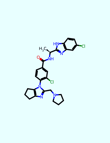 C[C@H](NC(=O)c1ccc(-n2c(CN3CCCC3)nc3c2CCC3)c(Cl)c1)c1nc2cc(Cl)ccc2[nH]1